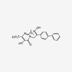 CCOC(=O)c1nc(C)n(C/C(=N/O)c2ccc(-c3ccccc3)cc2)c(=O)c1O